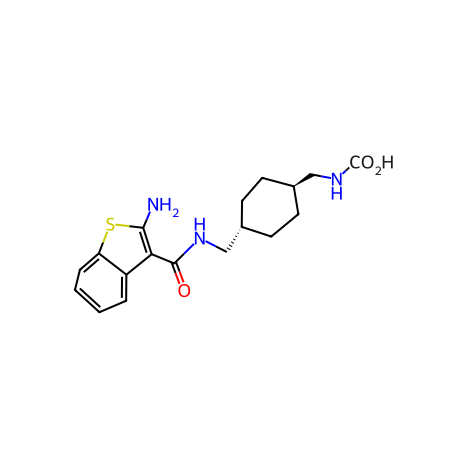 Nc1sc2ccccc2c1C(=O)NC[C@H]1CC[C@H](CNC(=O)O)CC1